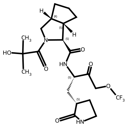 CC(C)(O)C(=O)N1C[C@@H]2CCC[C@@H]2[C@H]1C(=O)N[C@@H](C[C@@H]1CCNC1=O)C(=O)COC(F)(F)F